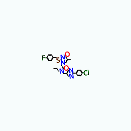 CCCN(Cc1cnc(-c2ccc(Cl)cc2)nc1)C(=O)Cn1cc(C)c(=O)nc1SCc1ccc(F)cc1